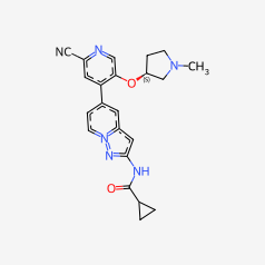 CN1CC[C@H](Oc2cnc(C#N)cc2-c2ccn3nc(NC(=O)C4CC4)cc3c2)C1